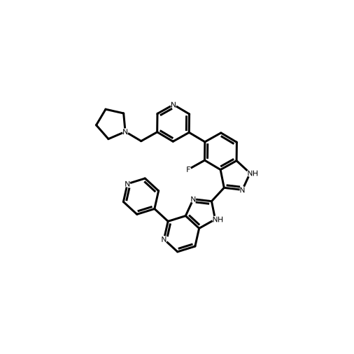 Fc1c(-c2cncc(CN3CCCC3)c2)ccc2[nH]nc(-c3nc4c(-c5ccncc5)nccc4[nH]3)c12